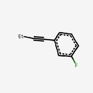 CCC#Cc1cccc(F)c1